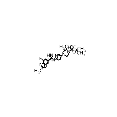 Cc1cn2cc(C(=N)Nc3ccc(N4CCN(C(=O)OC(C)(C)C)[C@@H](C)C4)cn3)cc(F)c2n1